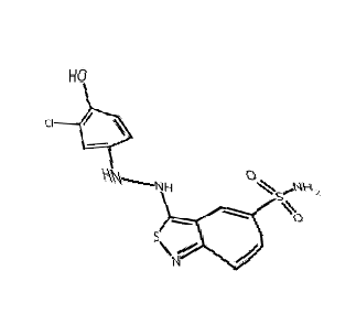 NS(=O)(=O)c1ccc2nsc(NNc3ccc(O)c(Cl)c3)c2c1